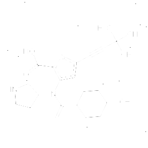 CC(C)(C)C#Cc1cc(N(C(=O)[C@H]2CC[C@@H](C)CC2)[C@@H]2CCNC2)c(C(=O)O)s1